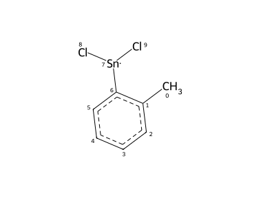 Cc1cccc[c]1[Sn]([Cl])[Cl]